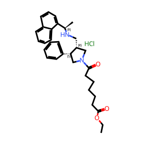 CCOC(=O)CCCCCC(=O)N1C[C@@H](CN[C@H](C)c2cccc3ccccc23)[C@@H](c2ccccc2)C1.Cl